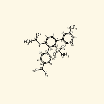 NC(=O)Cc1ccc(-c2cncc(C(F)(F)F)c2)c(S(N)(=O)=O)c1-c1ccc(C(F)F)cc1